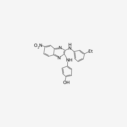 CCc1cccc(Nc2nc3cc([N+](=O)[O-])ccc3nc2Nc2ccc(O)cc2)c1